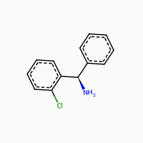 N[C@H](c1ccccc1)c1ccccc1Cl